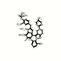 CCc1cccc(CC)c1-n1nc2c(c1-c1cc(F)c(OC)c3c1cc(Cc1ccc(OP(=O)(O)O)c([N+](=O)[O-])c1)n3C(=O)O)CN(c1ncc(C(F)(F)F)cn1)CC2